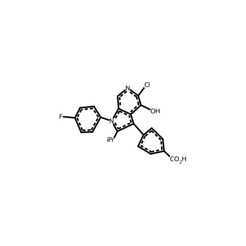 CC(C)c1c(-c2ccc(C(=O)O)cc2)c2c(O)c(Cl)ncc2n1-c1ccc(F)cc1